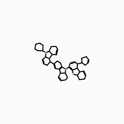 C1=CCC(C2C=CC(N3C4=C(C=C(C5CC=CC6C5C5C=CCCC5N6C5CCCCC5)CC4)C4C=CCCC43)=C3SC4CCC=CC4C32)CC1